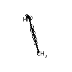 CCCCCCCCCCOCCOCCOCCOCCOCCOCCCCCCNC(=O)c1ccsc1